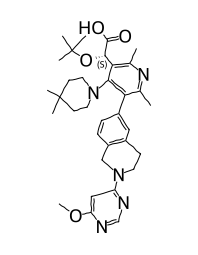 COc1cc(N2CCc3cc(-c4c(C)nc(C)c([C@H](OC(C)(C)C)C(=O)O)c4N4CCC(C)(C)CC4)ccc3C2)ncn1